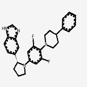 Fc1cc(N2CCC[C@@H]2c2ccc3[nH]cnc3c2)cc(F)c1N1CCC(c2ccccc2)CC1